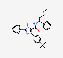 CCCCC(NC(=O)c1c(-c2ccc(C(C)(C)C)cc2)nc(-c2ccccc2)n1C)c1ccccc1